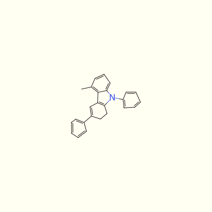 Cc1cccc2c1c1c(n2-c2ccccc2)CCC(c2ccccc2)=C1